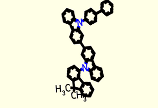 CC1(C)c2ccccc2-c2c(-n3c4ccccc4c4ccc(-c5ccc6c7ccccc7n(-c7ccc(-c8ccccc8)cc7)c6c5)cc43)cccc21